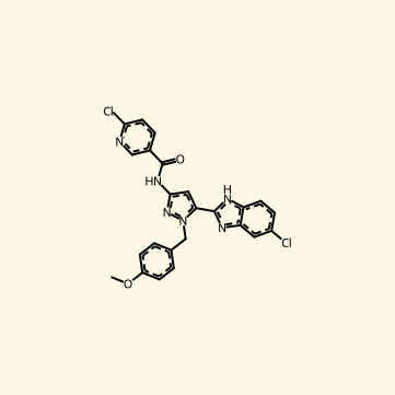 COc1ccc(Cn2nc(NC(=O)c3ccc(Cl)nc3)cc2-c2nc3cc(Cl)ccc3[nH]2)cc1